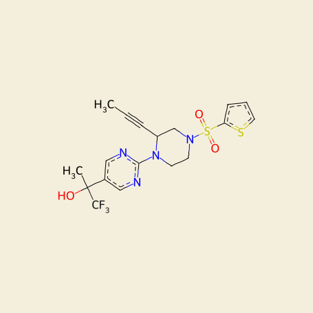 CC#CC1CN(S(=O)(=O)c2cccs2)CCN1c1ncc(C(C)(O)C(F)(F)F)cn1